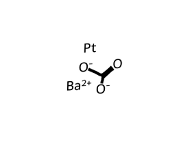 O=C([O-])[O-].[Ba+2].[Pt]